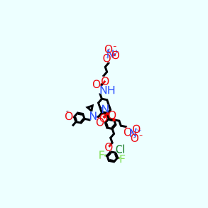 COc1ccc(CN(C(=O)C2=C(c3ccc(CCCOc4c(F)ccc(F)c4Cl)cc3)CC3CC(CNC(=O)OCCCCO[N+](=O)[O-])CC2N3C(=O)OCCCCO[N+](=O)[O-])C2CC2)cc1C